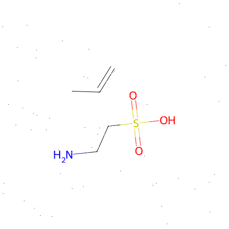 C=CC.NCCS(=O)(=O)O